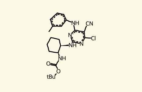 Cc1cccc(Nc2nc(N[C@@H]3CCCC[C@@H]3NC(=O)OC(C)(C)C)nc(Cl)c2C#N)c1